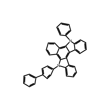 c1ccc(-c2ccc(-n3c4ccccc4c4c5c6ccccc6n(-c6ccccc6)c5c5ccccc5c43)cc2)cc1